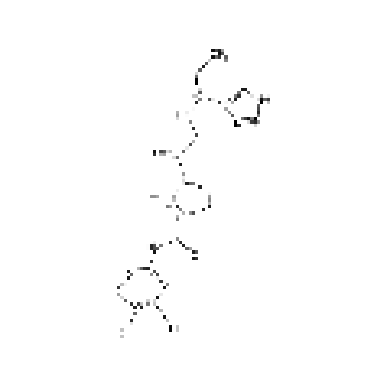 C[C@H]1[C@@H](C(=O)Nc2ccc(Cl)c(Cl)c2)CCN1C(=O)CN[C@@H](CC(F)(F)F)c1c[nH]nn1